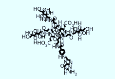 CNC(=O)[C@H](CCC(=O)O)NC(=O)[C@H](CCC(=O)NC[C@H](O)[C@@H](O)[C@H](O)[C@H](O)CO)NC(=O)[C@H](CCC(=O)NC[C@H](O)[C@@H](O)[C@H](O)[C@H](O)CO)NC(=O)[C@H](CCC(=O)O)NC(=O)[C@H](CCC(=O)NC[C@H](O)[C@@H](O)[C@H](O)[C@H](O)CO)NC(=O)CC[C@@H](C)NC(=O)c1ccc(NCc2cnc3nc(N)[nH]c(=O)c3n2)cc1